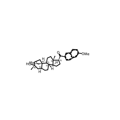 COC[C@]12CC[C@@](C)(O)C[C@@H]1CC[C@H]1[C@@H]3CC[C@H](C(=O)c4ccc5cc(OC)ccc5c4)[C@@]3(C)CC[C@@H]12